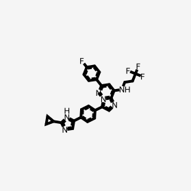 Fc1ccc(-c2cc(NCCC(F)(F)F)c3ncc(-c4ccc(-c5cnc(C6CC6)[nH]5)cc4)n3n2)cc1